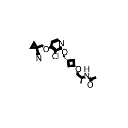 CC(=O)N[C@@H](C)CO[C@H]1C[C@H](COc2nccc(OCC3(C#N)CC3)c2Cl)C1